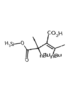 CCCCC(C)=C(C(=O)O)C(C)(CCCC)C(=O)O[SiH3]